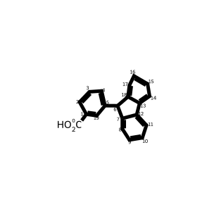 O=C(O)c1cccc(C2c3ccccc3-c3ccccc32)c1